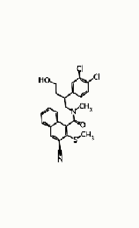 CSc1c(C#N)cc2ccccc2c1C(=O)N(C)CC(CCO)c1ccc(Cl)c(Cl)c1